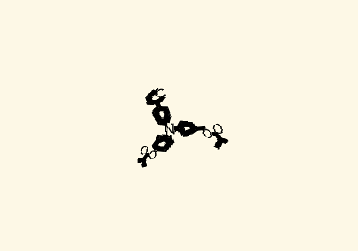 C=C(C)C(=O)OCc1ccc(N(c2ccc(OC(=O)C(=C)C)cc2)c2ccc(-c3ccccc3)cc2)cc1